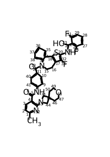 Cc1ccc(C(=O)Nc2ccc(C(=O)N3CCc4c(sc(NC(O)c5c(F)cccc5F)c4F)-c4ccccc43)cc2)c(N2CC3(CCOCC3)C2)n1